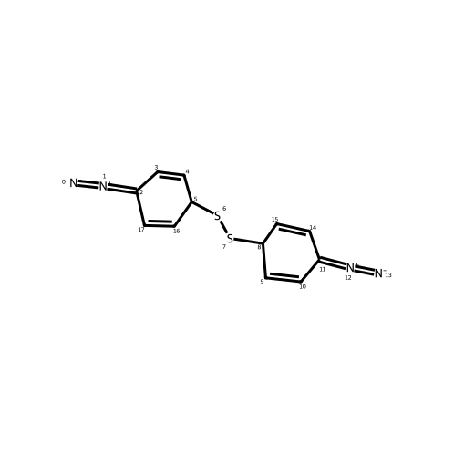 [N-]=[N+]=C1C=CC(SSC2C=CC(=[N+]=[N-])C=C2)C=C1